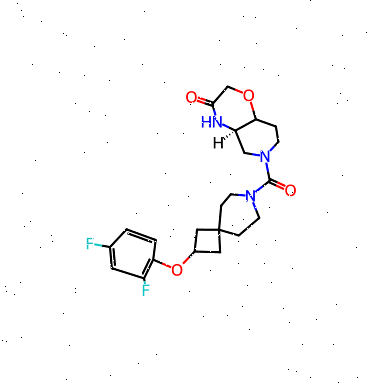 O=C1COC2CCN(C(=O)N3CCC4(CC3)CC(Oc3ccc(F)cc3F)C4)C[C@H]2N1